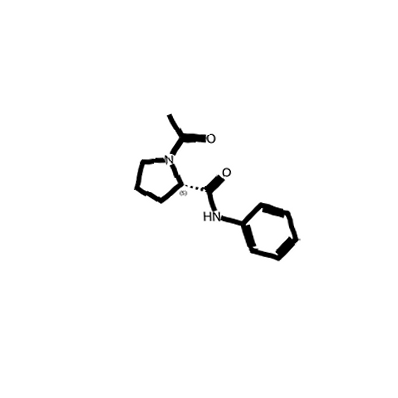 CC(=O)N1CCC[C@H]1C(=O)Nc1cc[c]cc1